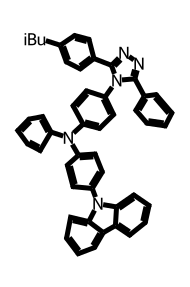 CCC(C)c1ccc(-c2nnc(-c3ccccc3)n2-c2ccc(N(c3ccccc3)c3ccc(-n4c5ccccc5c5ccccc54)cc3)cc2)cc1